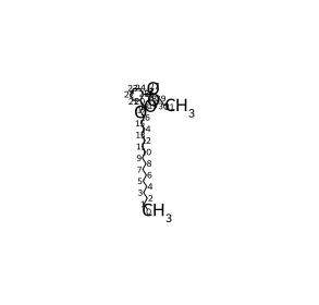 CCCCCCCCCCCCCCCCCOC(=O)C1CC=CCC1C(=O)OCCC